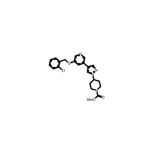 COC(=O)N1CCC(n2cc(-c3cncc(OCc4ccccc4Cl)c3)cn2)CC1